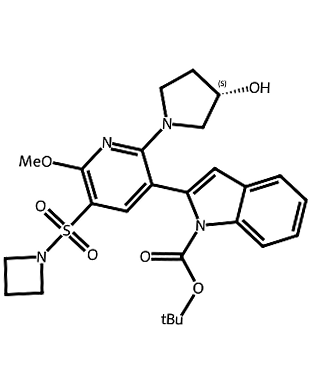 COc1nc(N2CC[C@H](O)C2)c(-c2cc3ccccc3n2C(=O)OC(C)(C)C)cc1S(=O)(=O)N1CCC1